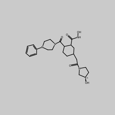 O=C(NO)C1CC(CC(=O)N2CC[C@@H](O)C2)CCC1C(=O)N1CCN(c2ccccc2)CC1